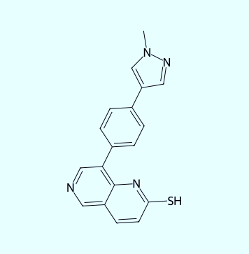 Cn1cc(-c2ccc(-c3cncc4ccc(S)nc34)cc2)cn1